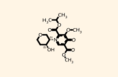 COC(=O)c1cn([C@H]2COCC[C@@H]2O)c(C(=O)OC(C)C)c(OC)c1=O